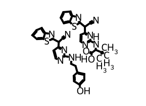 CC(C)(C)C(Nc1nccc(C(C#N)c2nc3ccccc3s2)n1)C(=O)O.N#CC(c1ccnc(NCCc2ccc(O)cc2)n1)c1nc2ccccc2s1